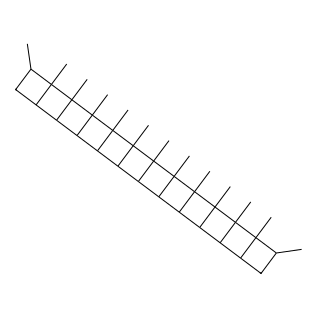 CC1CC2C3C4C5C6C7C8C9C%10C%11C%12CC(C)C%12(C)C%11(C)C%10(C)C9(C)C8(C)C7(C)C6(C)C5(C)C4(C)C3(C)C12C